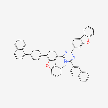 CC1CC=Cc2oc3c(-c4ccc(-c5cccc6ccccc56)cc4)ccc(-c4nc(-c5ccc6ccccc6c5)nc(-c5ccc6c(c5)oc5ccccc56)n4)c3c21